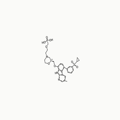 Cc1cnc2[nH]c3c(OC[C@@H]4CN(CCOCP(=O)(O)O)CCO4)ccc(-c4cccc(S(=O)(=O)C5CC5)c4)c3c2c1